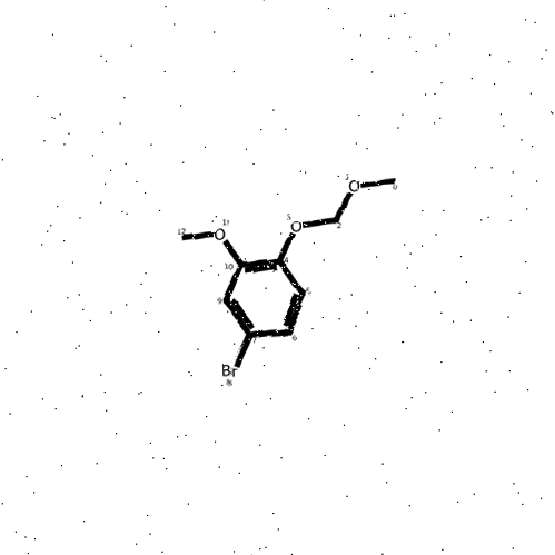 COCOc1ccc(Br)cc1OC